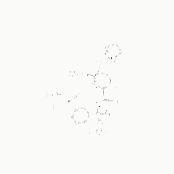 COc1ccc(C(C)(C)CO)cc1S(=N)(=O)NC(=O)c1ccc(Cn2cccn2)c(OC)n1